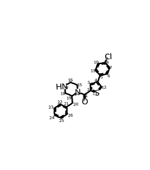 O=C(c1cc(-c2ccc(Cl)cc2)cs1)N1CCNCC1Cc1ccccc1